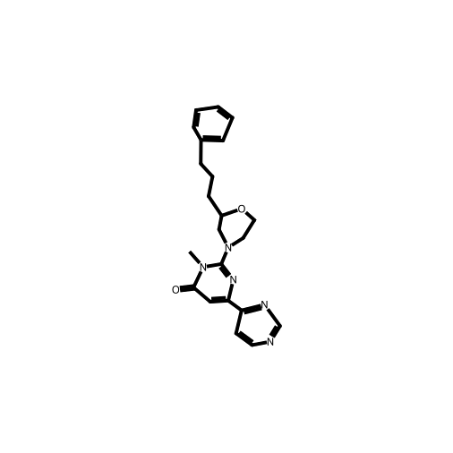 Cn1c(N2CCOC(CCCc3ccccc3)C2)nc(-c2ccncn2)cc1=O